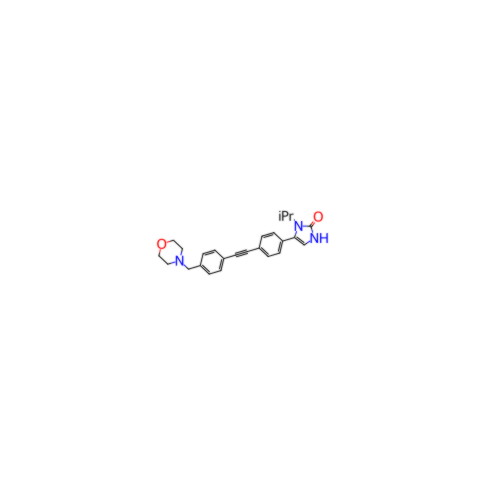 CC(C)n1c(-c2ccc(C#Cc3ccc(CN4CCOCC4)cc3)cc2)c[nH]c1=O